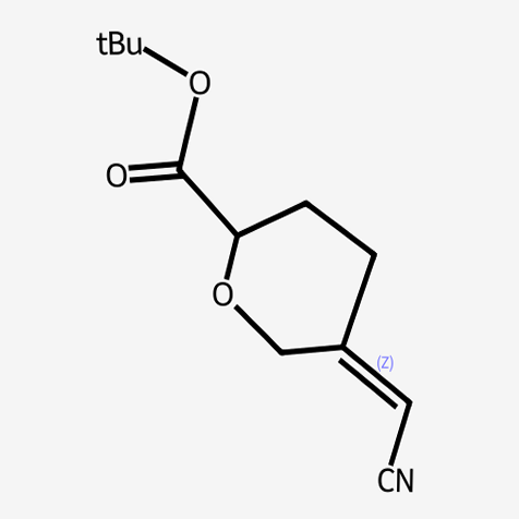 CC(C)(C)OC(=O)C1CC/C(=C/C#N)CO1